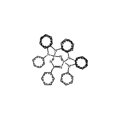 c1ccc(C2=NP(N(c3ccccc3)c3ccccc3)(N(c3ccccc3)c3ccccc3)=NP(N(c3ccccc3)c3ccccc3)(N(c3ccccc3)c3ccccc3)=N2)cc1